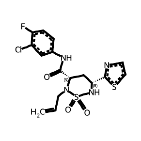 C=CCN1[C@H](C(=O)Nc2ccc(F)c(Cl)c2)C[C@H](c2nccs2)NS1(=O)=O